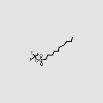 CCCCCCCCCCS(=O)(=O)OC(F)(F)F